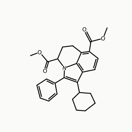 COC(=O)c1ccc2c(C3CCCCC3)c(-c3ccccc3)n3c2c1CCC3C(=O)OC